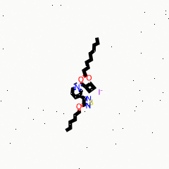 CCCCCCCCCC(=O)OC(C1CCC1)[N+]1(C)CCC=C(c2nsnc2OCCCCCC)C1.[I-]